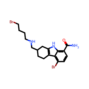 NC(=O)c1ccc(Br)c2c3c([nH]c12)CC(CNCCCCBr)CC3